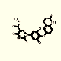 COC(=O)c1nn(-c2cc(Cl)c(Oc3ccc4c(c3)CCC(=O)N4)c(Cl)c2)c(=O)[nH]c1=O